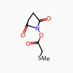 CSCC(=O)ON1C(=O)CCC1=O